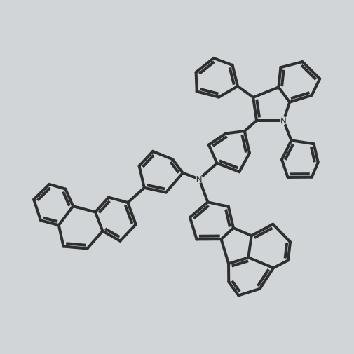 c1ccc(-c2c(-c3ccc(N(c4cccc(-c5ccc6ccc7ccccc7c6c5)c4)c4ccc5c(c4)-c4cccc6cccc-5c46)cc3)n(-c3ccccc3)c3ccccc23)cc1